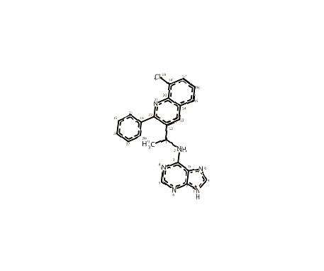 CC(Nc1ncnc2[nH]cnc12)c1cc2cccc(Cl)c2nc1-c1ccccc1